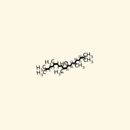 CC(C)=CCCC(C)=CCCC(C)=CC(O)C/C=C(\C)CCC=C(C)C